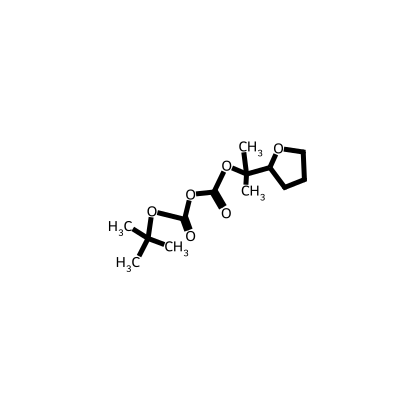 CC(C)(C)OC(=O)OC(=O)OC(C)(C)C1CCCO1